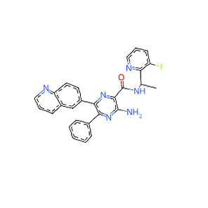 CC(NC(=O)c1nc(-c2ccc3ncccc3c2)c(-c2ccccc2)nc1N)c1ncccc1F